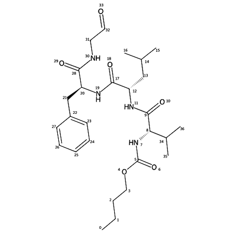 CCCCOC(=O)N[C@H](C(=O)N[C@@H](CC(C)C)C(=O)N[C@@H](Cc1ccccc1)C(=O)NCC=O)C(C)C